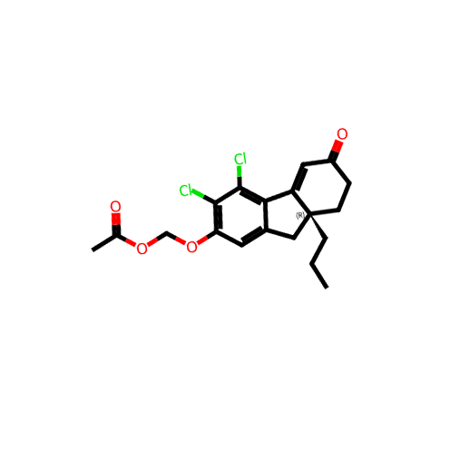 CCC[C@]12CCC(=O)C=C1c1c(cc(OCOC(C)=O)c(Cl)c1Cl)C2